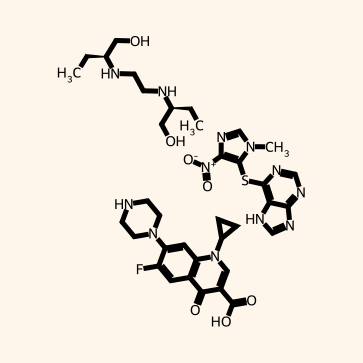 CC[C@@H](CO)NCCN[C@@H](CC)CO.Cn1cnc([N+](=O)[O-])c1Sc1ncnc2nc[nH]c12.O=C(O)c1cn(C2CC2)c2cc(N3CCNCC3)c(F)cc2c1=O